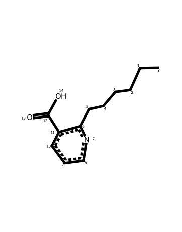 CCCCCCc1ncccc1C(=O)O